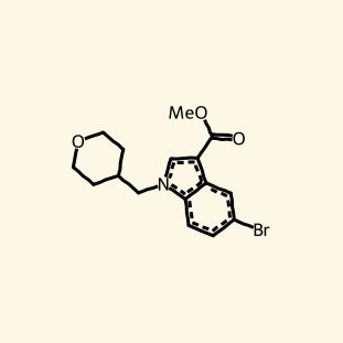 COC(=O)c1cn(CC2CCOCC2)c2ccc(Br)cc12